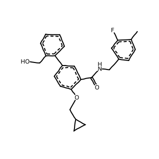 Cc1ccc(CNC(=O)c2cc(-c3ccccc3CO)ccc2OCC2CC2)cc1F